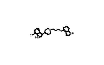 Clc1cccc2c(C3=CCN(CCCOc4cccc5[nH]ccc45)CC3)c[nH]c12